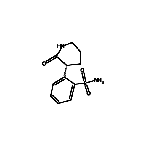 NS(=O)(=O)c1ccccc1[C@H]1CCCNC1=O